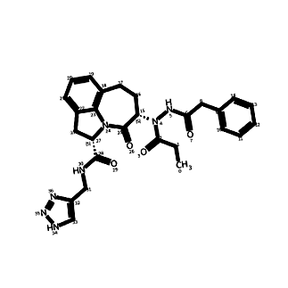 CCC(=O)N(NC(=O)Cc1ccccc1)[C@H]1CCc2cccc3c2N(C1=O)[C@H](C(=O)NCc1c[nH]nn1)C3